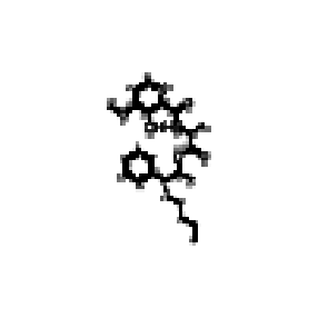 CCCCC[C@H](c1ccccc1)[C@H](C)OC(=O)[C@H](C)NC(=O)c1nccc(OC)c1O